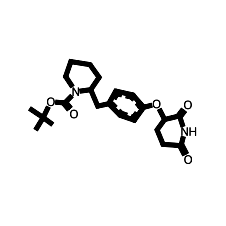 CC(C)(C)OC(=O)N1CCCCC1Cc1ccc(OC2CCC(=O)NC2=O)cc1